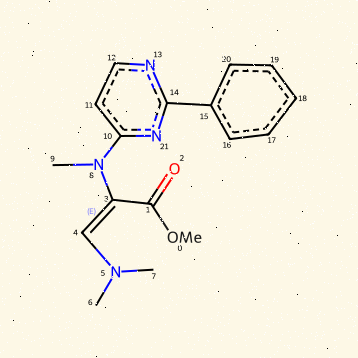 COC(=O)/C(=C\N(C)C)N(C)c1ccnc(-c2ccccc2)n1